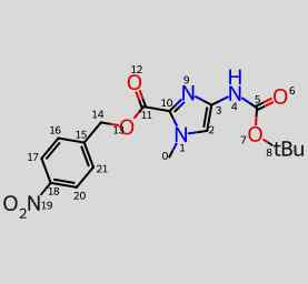 Cn1cc(NC(=O)OC(C)(C)C)nc1C(=O)OCc1ccc([N+](=O)[O-])cc1